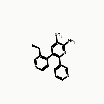 Nc1nc(-c2cccnc2)c(-c2ccncc2CI)cc1[N+](=O)[O-]